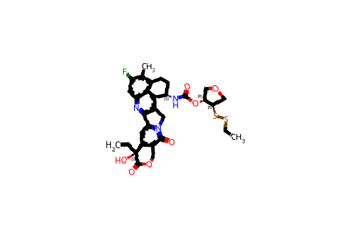 CCSS[C@@H]1COC[C@H]1OC(=O)N[C@H]1CCc2c(C)c(F)cc3nc4c(c1c23)Cn1c-4cc2c(c1=O)COC(=O)[C@]2(O)CC